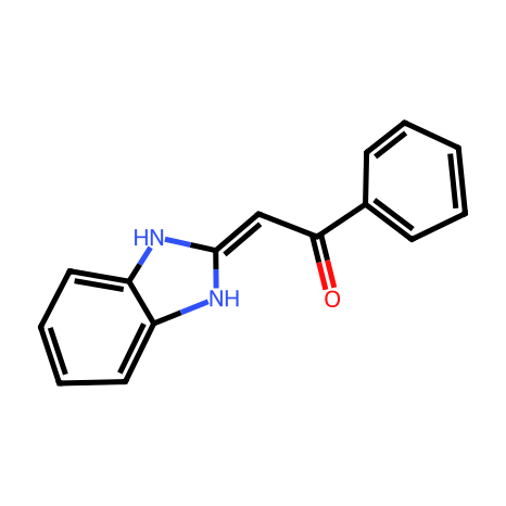 O=C(C=C1Nc2ccccc2N1)c1ccccc1